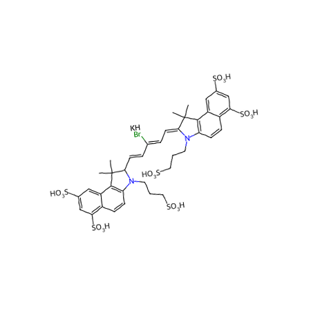 CC1(C)/C(=C/C=C(Br)/C=C/C2N(CCCS(=O)(=O)O)c3ccc4c(S(=O)(=O)O)cc(S(=O)(=O)O)cc4c3C2(C)C)N(CCCS(=O)(=O)O)c2ccc3c(S(=O)(=O)O)cc(S(=O)(=O)O)cc3c21.[KH]